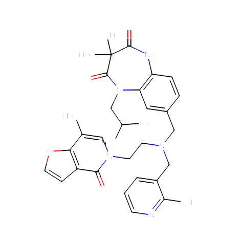 Cc1ncccc1CN(CCn1cc(C)c2occc2c1=O)Cc1ccc2c(c1)N(CC(C)C)C(=O)C(C)(C)C(=O)N2